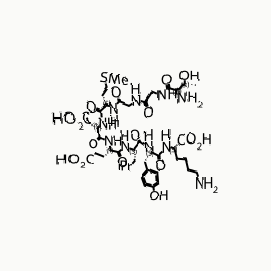 CSCC[C@H](NC(=O)CNC(=O)CNC(=O)[C@@H](N)[C@@H](C)O)C(=O)N[C@@H](CC(=O)O)C(=O)N[C@@H](CCC(=O)O)C(=O)N[C@@H](CC(C)C)C(=O)N[C@@H](Cc1ccc(O)cc1)C(=O)N[C@@H](CCCCN)C(=O)O